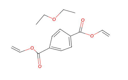 C=COC(=O)c1ccc(C(=O)OC=C)cc1.CCOCC